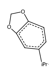 C[C](C)c1ccc2c(c1)OCO2